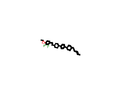 C/C=C/CCC1CCC(c2ccc(C3CCC(/C=C/c4ccc(OCC)c(F)c4F)CC3)cc2)CC1